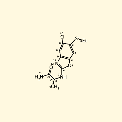 CCSc1cc2oc(N[C@@H](C)C(N)=O)nc2cc1Cl